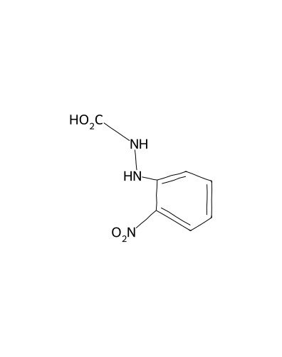 O=C(O)NNc1ccccc1[N+](=O)[O-]